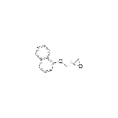 c1ccc2c(OC[C@@H]3CO3)cccc2c1